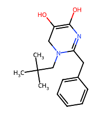 CC(C)(C)CN1CC(O)=C(O)N=C1Cc1ccccc1